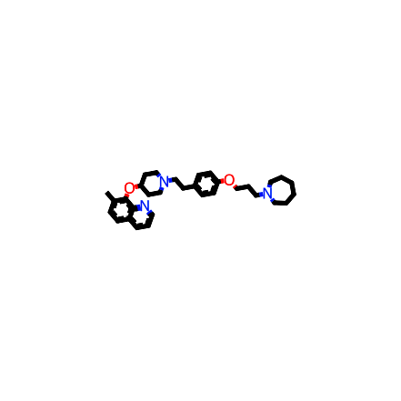 Cc1ccc2cccnc2c1OC1CCN(CCc2ccc(OCCCN3CCCCCC3)cc2)CC1